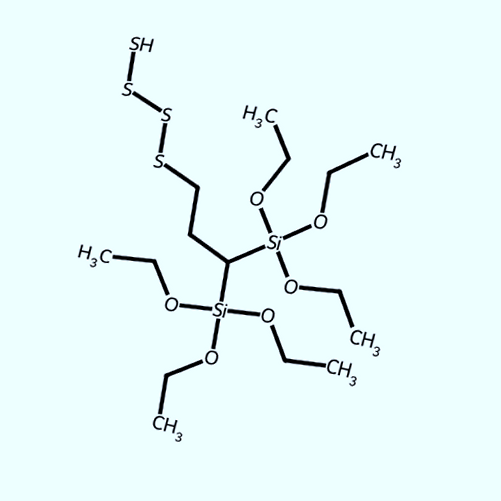 CCO[Si](OCC)(OCC)C(CCSSSS)[Si](OCC)(OCC)OCC